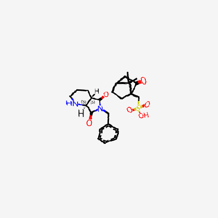 CC1(C)C2CCC1(CS(=O)(=O)O)C(=O)C2.O=C1[C@H]2CCCN[C@@H]2C(=O)N1Cc1ccccc1